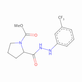 COC(=O)N1CCCC1C(=O)NNc1cccc(C(F)(F)F)c1